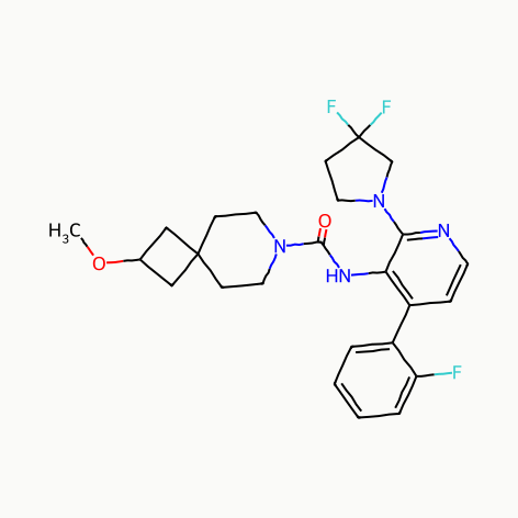 COC1CC2(CCN(C(=O)Nc3c(-c4ccccc4F)ccnc3N3CCC(F)(F)C3)CC2)C1